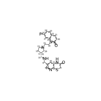 O=C1CSc2nnc(CNC[C@@H]3CCN(CCn4c(=O)ccc5ccc(F)cc54)C3)cc2N1